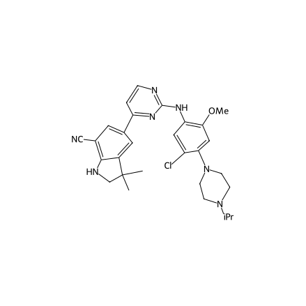 COc1cc(N2CCN(C(C)C)CC2)c(Cl)cc1Nc1nccc(-c2cc(C#N)c3c(c2)C(C)(C)CN3)n1